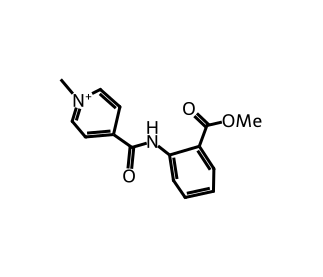 COC(=O)c1ccccc1NC(=O)c1cc[n+](C)cc1